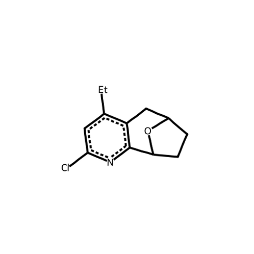 CCc1cc(Cl)nc2c1CC1CCC2O1